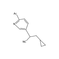 CC(=O)c1ccc(C(C#N)CC2CC2)cn1